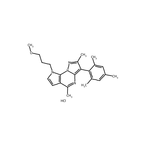 COCCCn1ccc2c(C)nc3c(-c4c(C)cc(C)cc4C)c(C)nn3c21.Cl